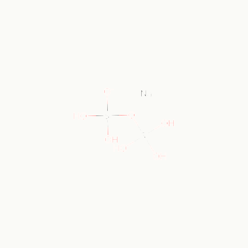 [Na+].[O-][Si](O)(O)O[Si](O)(O)O